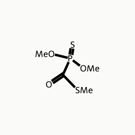 COP(=S)(OC)C(=O)SC